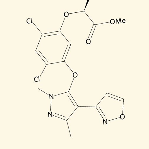 COC(=O)[C@H](C)Oc1cc(Oc2c(-c3ccon3)c(C)nn2C)c(Cl)cc1Cl